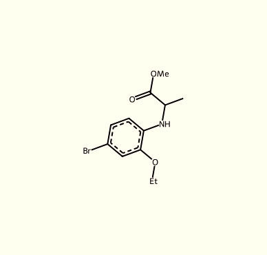 CCOc1cc(Br)ccc1NC(C)C(=O)OC